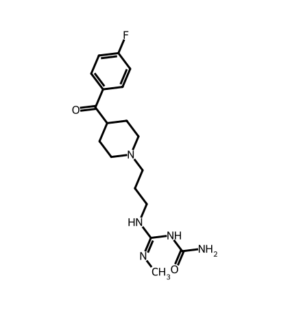 C/N=C(/NCCCN1CCC(C(=O)c2ccc(F)cc2)CC1)NC(N)=O